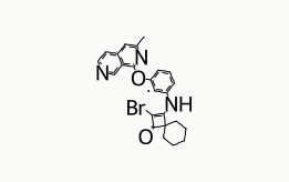 Cc1cc2ccncc2c(Oc2[c]c(NC3=C(Br)C(=O)C34CCCCC4)ccc2)n1